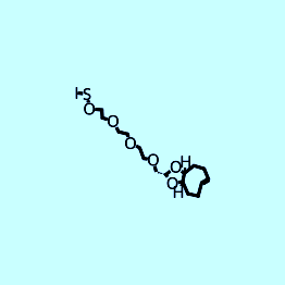 ISOCCOCCOCCOC[C@H]1O[C@H]2CC/C=C/CC[C@H]2O1